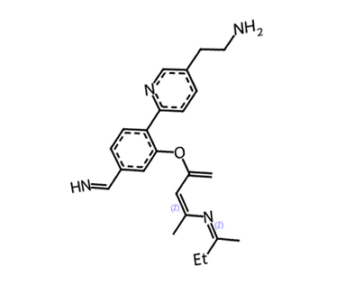 C=C(/C=C(C)\N=C(\C)CC)Oc1cc(C=N)ccc1-c1ccc(CCN)cn1